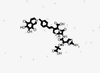 CC(C)(O/N=C(\C(=O)N[C@@H]1C(=O)N2C(C(=O)O)=C(/C=C/c3ccc(C[n+]4ccc5c(Cl)c(O)c(O)c(Cl)c5c4)cc3)CS[C@H]12)c1csc(N)n1)C(=O)O